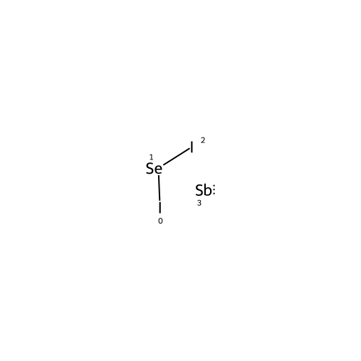 I[Se]I.[Sb]